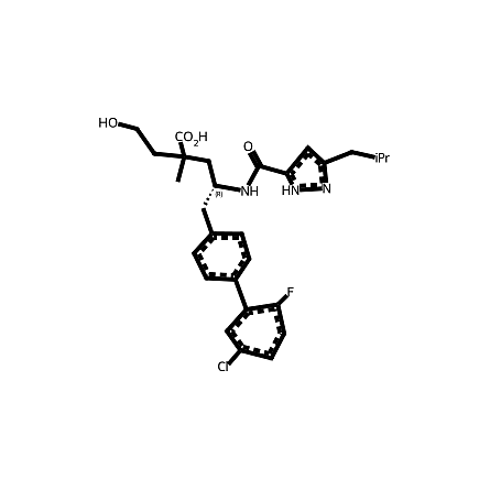 CC(C)Cc1cc(C(=O)N[C@H](Cc2ccc(-c3cc(Cl)ccc3F)cc2)CC(C)(CCO)C(=O)O)[nH]n1